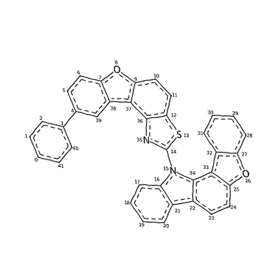 c1ccc(-c2ccc3oc4ccc5sc(-n6c7ccccc7c7ccc8oc9ccccc9c8c76)nc5c4c3c2)cc1